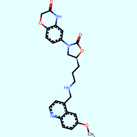 COc1ccc2nccc(CNCCC[C@H]3CN(c4ccc5c(c4)NC(=O)CO5)C(=O)O3)c2c1